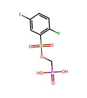 O=P(O)(O)COS(=O)(=O)c1cc(F)ccc1F